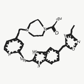 CCCCC(=O)N1CCN(Cc2ccnc(Nc3nc4ccc(-c5nc(C)no5)cc4[nH]3)c2)CC1